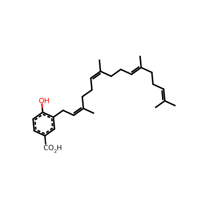 CC(C)=CCC/C(C)=C/CCC(C)=CCCC(C)=CCc1cc(C(=O)O)ccc1O